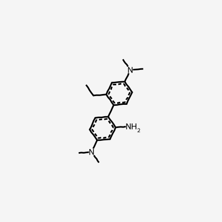 CCc1cc(N(C)C)ccc1-c1ccc(N(C)C)cc1N